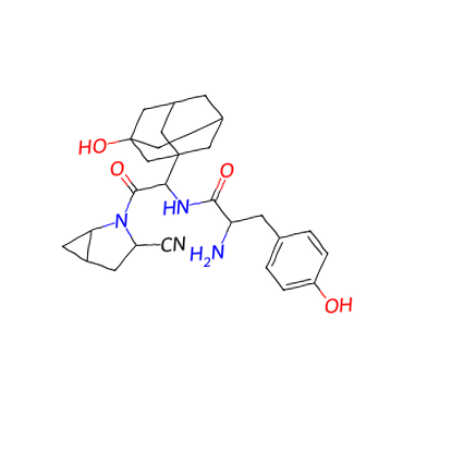 N#CC1CC2CC2N1C(=O)C(NC(=O)C(N)Cc1ccc(O)cc1)C12CC3CC(CC(O)(C3)C1)C2